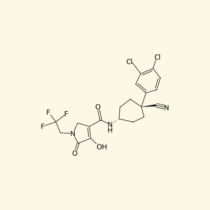 N#C[C@]1(c2ccc(Cl)c(Cl)c2)CC[C@@H](NC(=O)C2=C(O)C(=O)N(CC(F)(F)F)C2)CC1